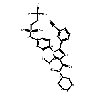 N#Cc1cccc(-c2nc(C(=O)N(O)C3CCCCC3)c(CO)n2-c2ccc(OS(=O)(=O)CCC(F)(F)F)cc2)c1